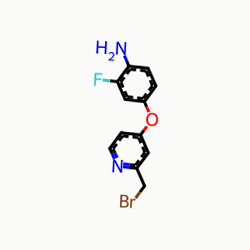 Nc1ccc(Oc2ccnc(CBr)c2)cc1F